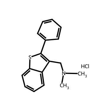 CN(C)Cc1c(-c2ccccc2)sc2ccccc12.Cl